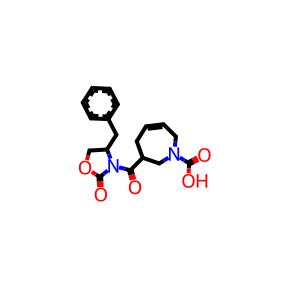 O=C(O)N1CC=CCC(C(=O)N2C(=O)OCC2Cc2ccccc2)C1